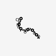 Cc1cc(Oc2ccc(OCc3ccccc3Cl)cn2)ccc1C=CC(=O)N1CCN(Cc2ccc(COc3ccc(OC(C)C)cc3)cc2)CC1